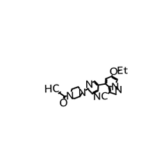 C#CC(=O)N1CCN(c2ccc(-c3cc(OCC)cn4ncc(C#N)c34)cn2)CC1